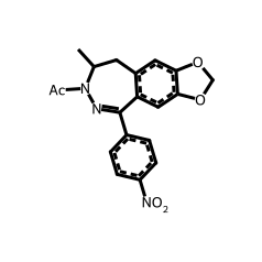 CC(=O)N1N=C(c2ccc([N+](=O)[O-])cc2)c2cc3c(cc2CC1C)OCO3